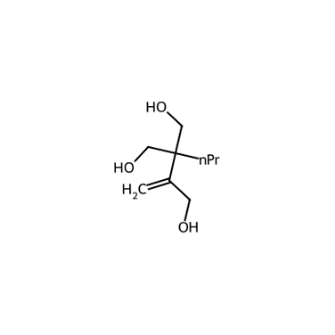 C=C(CO)C(CO)(CO)CCC